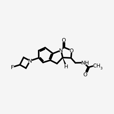 CC(=O)NCC1OC(=O)N2c3ccc(N4CC(F)C4)cc3C[C@@H]12